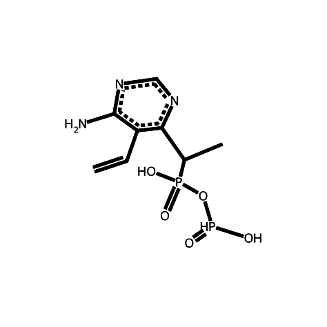 C=Cc1c(N)ncnc1C(C)P(=O)(O)O[PH](=O)O